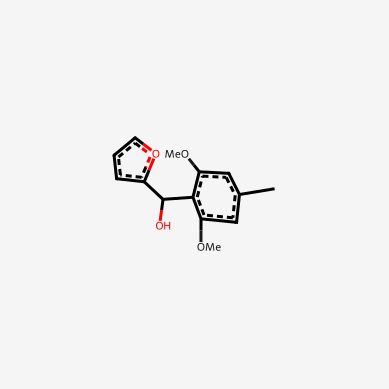 COc1cc(C)cc(OC)c1C(O)c1ccco1